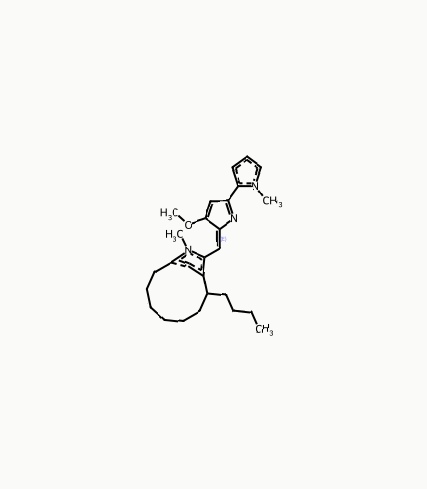 CCCCC1CCCCCCc2cc1c(/C=C1/N=C(c3cccn3C)C=C1OC)n2C